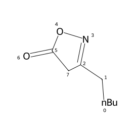 CCCCCC1=NOC(=O)C1